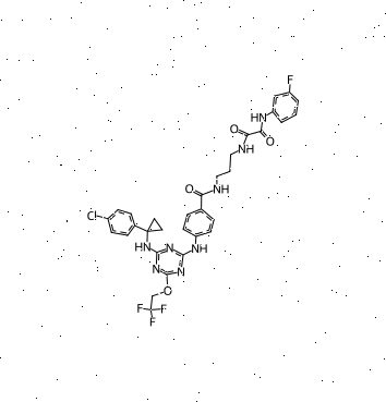 O=C(NCCCNC(=O)c1ccc(Nc2nc(NC3(c4ccc(Cl)cc4)CC3)nc(OCC(F)(F)F)n2)cc1)C(=O)Nc1cccc(F)c1